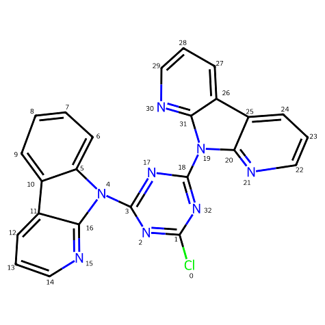 Clc1nc(-n2c3ccccc3c3cccnc32)nc(-n2c3ncccc3c3cccnc32)n1